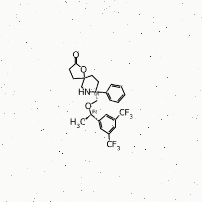 C[C@@H](OC[C@@]1(c2ccccc2)CCC2(CCC(=O)O2)CN1)c1cc(C(F)(F)F)cc(C(F)(F)F)c1